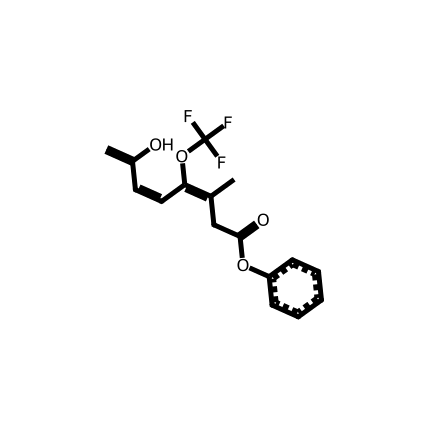 C=C(O)/C=C\C(OC(F)(F)F)=C(\C)CC(=O)Oc1ccccc1